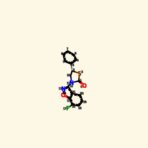 O=C1S[C@@H](c2ccccc2)CN1c1noc2c(F)cccc12